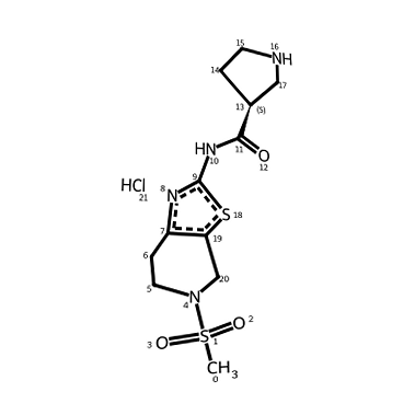 CS(=O)(=O)N1CCc2nc(NC(=O)[C@H]3CCNC3)sc2C1.Cl